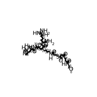 COCCNC(=O)CCN1C(=O)CC(SCCC(=O)NCCCC[C@H](CC(=O)C(C)(C)NC(=O)[C@@H](N)Cc2cnc[nH]2)C(=O)C[C@@H](CCCNC(=N)N)C(N)=O)C1=O